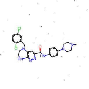 CN1CCN(c2ccc(NC(=O)c3cc4c(nn3)NCCN4Cc3cc(Cl)ccc3Cl)cc2)CC1